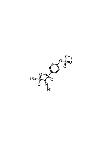 CC(C)(C)S(=O)(=O)C(=[N+]=[N-])S(=O)(=O)c1ccc(OS(C)(=O)=O)cc1